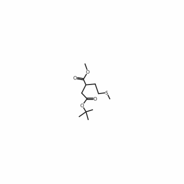 COC(=O)C(CCSC)CC(=O)OC(C)(C)C